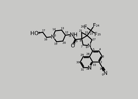 N#Cc1ccc(N2CC3(C(=O)NC4CCN(CCO)CC4)CC3(C(F)(F)F)C2)c2cccnc12